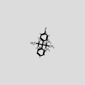 CC(C)(C)C(c1ccccc1)(c1ccc(F)cc1)C(C)(C)C